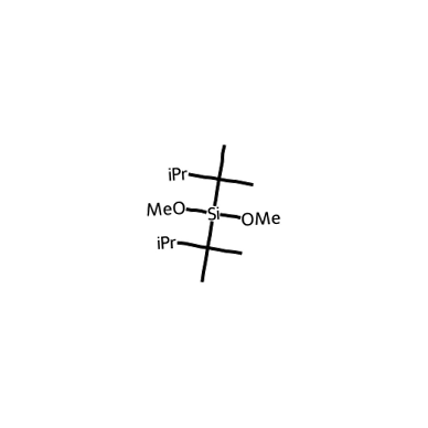 CO[Si](OC)(C(C)(C)C(C)C)C(C)(C)C(C)C